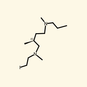 CCCN(C)CC[C@H](C)CN(C)CCI